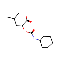 CC(C)C[C@H](OC(=O)NC1CCCCC1)C(=O)O